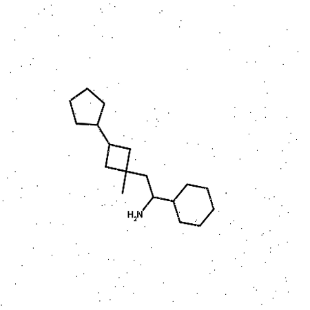 CC1(CC(N)C2CCCCC2)CC(C2CCCC2)C1